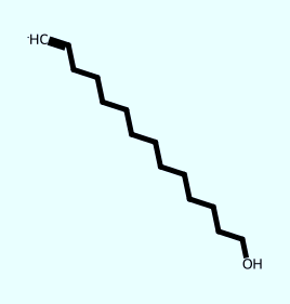 [CH]=CCCCCCCCCCCCCO